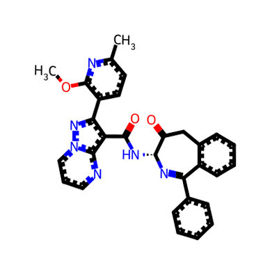 COc1nc(C)ccc1-c1nn2cccnc2c1C(=O)N[C@H]1N=C(c2ccccc2)c2ccccc2CC1=O